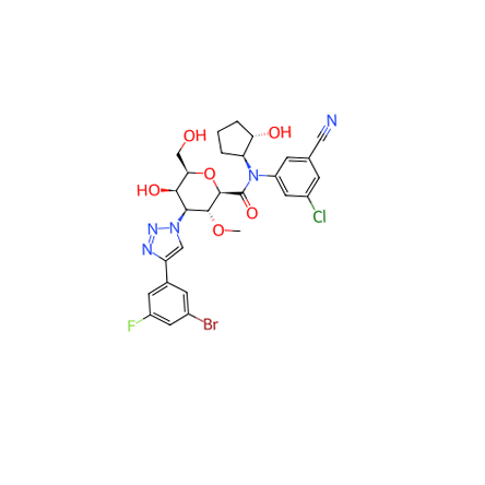 CO[C@@H]1[C@@H](n2cc(-c3cc(F)cc(Br)c3)nn2)[C@@H](O)[C@@H](CO)O[C@H]1C(=O)N(c1cc(Cl)cc(C#N)c1)[C@H]1CCC[C@@H]1O